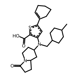 CC1CCC(CN(c2cc(C3=CCCCC3)sc2C(=O)O)C2CCN3C(=O)CCC3C2)CC1